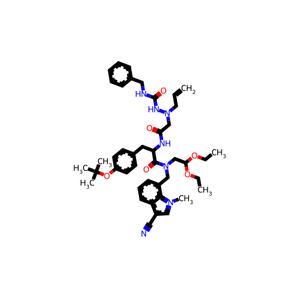 C=CCN(CC(=O)NC(Cc1ccc(OC(C)(C)C)cc1)C(=O)N(Cc1cccc2c(C#N)cn(C)c12)CC(OCC)OCC)NC(=O)NCc1ccccc1